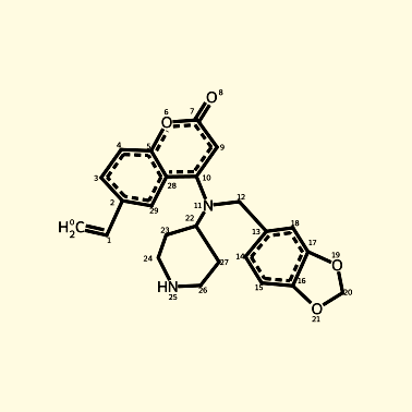 C=Cc1ccc2oc(=O)cc(N(Cc3ccc4c(c3)OCO4)C3CCNCC3)c2c1